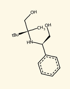 CC(C)(C)[C@](C)(CO)N[C@@H](CO)c1ccccc1